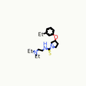 CCc1cccc(OC2CCN(C(=S)NCCN(CC)CC)C2)c1